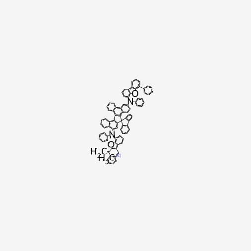 C=C(c1ccccc1)c1oc2c(N(c3ccccc3)c3cc4c(c5ccccc35)-c3c(c5ccc(N(c6ccccc6)c6cccc7c6oc6c(-c8ccccc8)cccc67)cc5c5ccccc35)C43c4ccccc4-c4ccccc43)cccc2c1/C=C\C